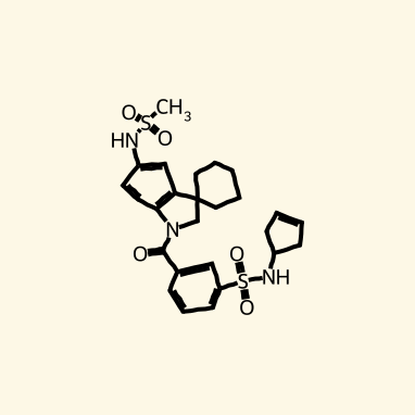 CS(=O)(=O)Nc1ccc2c(c1)C1(CCCCC1)CN2C(=O)c1cccc(S(=O)(=O)NC2CC=CC2)c1